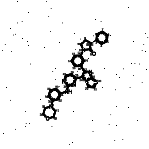 O=C1[C@@H](c2ccccc2)CCN1c1cccc(-c2nc3sccn3c2-c2ccnc(Nc3cccc(N4CCOCC4)c3)n2)c1